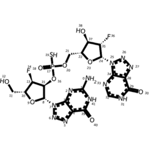 Nc1nc2c(nnn2[C@@H]2O[C@H](CO)[C@@H](F)[C@H]2OP(=O)(S)OC[C@H]2O[C@@H](n3nnc4c(=O)[nH]cnc43)[C@@H](F)[C@@H]2O)c(=O)[nH]1